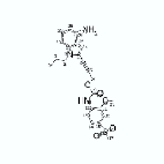 CCCn1c(C#CCOC(=O)Nc2ccc(S(C)(=O)=O)cc2OC)cc2c(N)cccc21